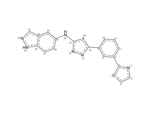 c1cc(-c2ncco2)cc(-c2nnc(Nc3ccc4[nH]ncc4c3)s2)c1